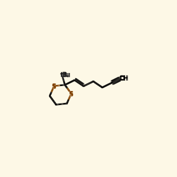 C#CCCC=CC1(C(C)(C)C)SCCCS1